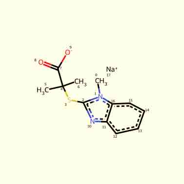 Cn1c(SC(C)(C)C(=O)[O-])nc2ccccc21.[Na+]